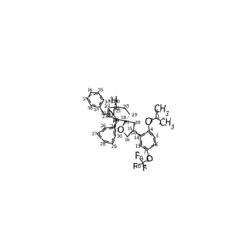 CC(C)Oc1ccc(OC(F)(F)F)cc1[C@H]1CO[C@]2(CC[C@H]3CC[C@]2(c2ccccc2)N3Cc2ccccc2)C1